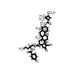 CC(C)C1=C2[C@H]3CC[C@@H]4[C@@]5(C)CC[C@H](OC(=O)[C@H]6C[C@@H](C(=O)O)C6(C)C)C(C)(C)[C@@H]5CC[C@@]4(C)[C@]3(C)CC[C@@]2(CCNCC(F)(CCN)NC(=O)c2ccc(Cl)cc2)CC1=O